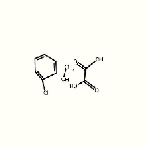 CO.Clc1ccccc1.O=C(O)C(=O)O